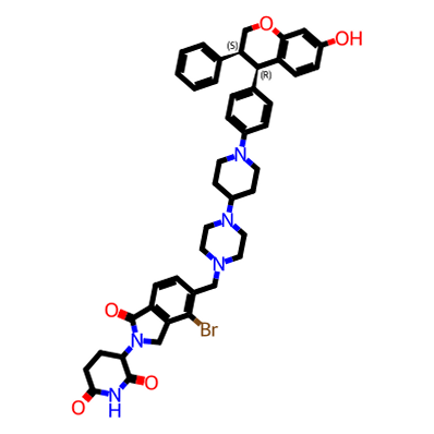 O=C1CCC(N2Cc3c(ccc(CN4CCN(C5CCN(c6ccc([C@@H]7c8ccc(O)cc8OC[C@@H]7c7ccccc7)cc6)CC5)CC4)c3Br)C2=O)C(=O)N1